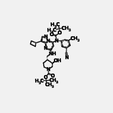 Cc1cc(C#N)cc(N(C(=O)OC(C)(C)C)c2cc(NC[C@H]3CCN(C(=O)OC(C)(C)C)C[C@@H]3O)nc3c(C4CCC4)cnn23)c1